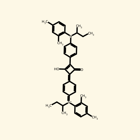 CCC(C)N(c1ccc(C2=C(O)C(=C3C=CC(=[N+](c4ccc(C)cc4C)C(C)CC)C=C3)C2=O)cc1)c1ccc(C)cc1C